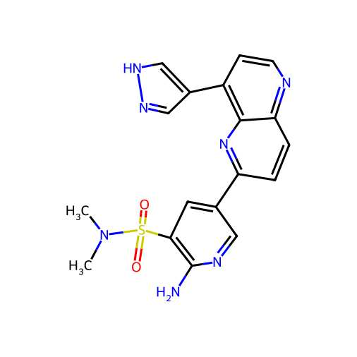 CN(C)S(=O)(=O)c1cc(-c2ccc3nccc(-c4cn[nH]c4)c3n2)cnc1N